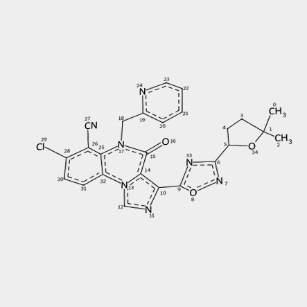 CC1(C)CCC(c2noc(-c3ncn4c3c(=O)n(Cc3ccccn3)c3c(C#N)c(Cl)ccc34)n2)O1